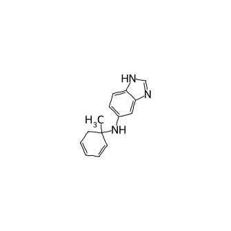 CC1(Nc2ccc3[nH]cnc3c2)C=CC=CC1